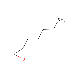 [SiH3]CCCCC1CO1